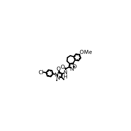 COc1ccc2c(c1)CCCc1c(C(=O)Nc3c(C)n(C)n(-c4ccc(Cl)cc4)c3=O)noc1-2